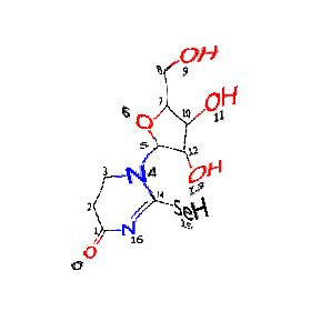 O=C1CCN(C2OC(CO)C(O)C2O)C([SeH])=N1